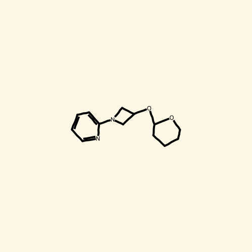 c1ccc(N2CC(OC3CCCCO3)C2)nc1